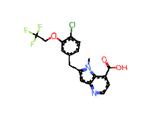 Cn1c(Cc2ccc(Cl)c(OCC(F)(F)F)c2)cc2nccc(C(=O)O)c21